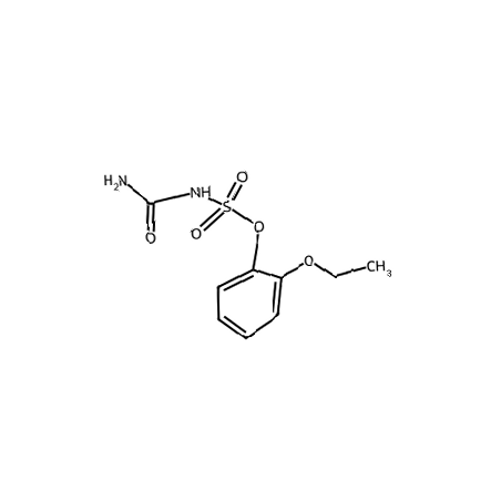 CCOc1ccccc1OS(=O)(=O)NC(N)=O